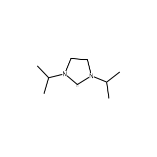 CC(C)N1[C]N(C(C)C)CC1